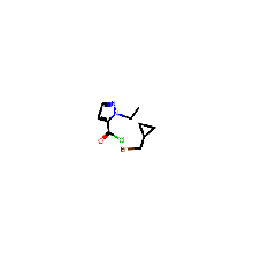 BrCC1CC1.CCn1nccc1C(=O)Cl